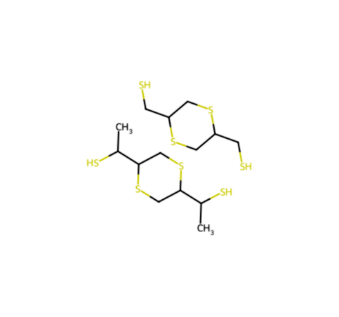 CC(S)C1CSC(C(C)S)CS1.SCC1CSC(CS)CS1